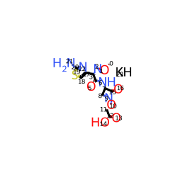 CON=C(C(=O)NC1CN(OCC(=O)O)C1=O)c1csc(N)n1.[KH]